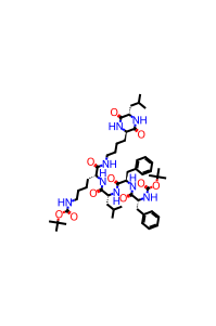 CC(C)C[C@@H]1NC(=O)[C@@H](CCCCNC(=O)[C@@H](CCCCNC(=O)OC(C)(C)C)NC(=O)[C@@H](CC(C)C)NC(=O)[C@@H](Cc2ccccc2)NC(=O)[C@@H](Cc2ccccc2)NC(=O)OC(C)(C)C)NC1=O